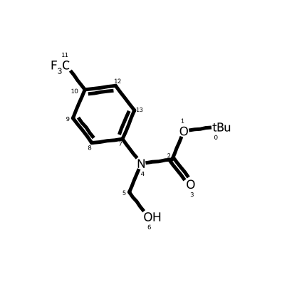 CC(C)(C)OC(=O)N(CO)c1ccc(C(F)(F)F)cc1